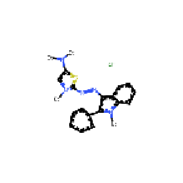 CCN(CC)c1c[n+](CC)c(/N=N/c2c(-c3ccccc3)n(CC)c3ccccc23)s1.[Cl-]